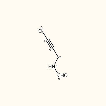 O=CNCC#CCl